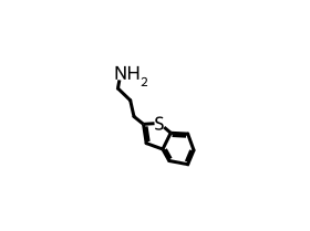 NCCCc1cc2ccccc2s1